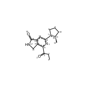 CCC(=O)c1nc(N2CCC[C@H]2C)cc2c1CNC2=O